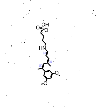 COc1cc(OC)cc(\C(C)=C/C(C)=C\C=C\NCCCCS(=O)(=O)O)c1